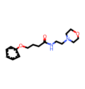 O=C(CCCOc1cc[c]cc1)NCCN1CCOCC1